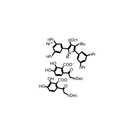 CCCCCCCCC1=C(c2cc(CCC)cc(CCC)c2)[N+](=[N-])C(c2cc(CCC)cc(CCC)c2)=C1CCCC.CCCCCCCCCCCC(=O)c1ccc(O)c(O)c1C(=O)[O-].CCCCCCCCCCCC(=O)c1ccc(O)c(O)c1C(=O)[O-].[Ni+2]